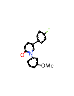 COc1cccc(-n2cc(-c3ccc(F)cc3)ccc2=O)c1